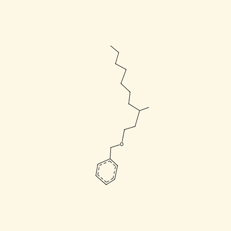 CCCCCCCC(C)CCOCc1ccccc1